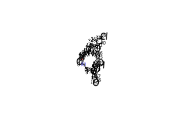 CO[C@@]1(C)/C=C/C[C@H](C)[C@@H](CCN2CCOCC2)S(=O)(=O)NC(=O)c2ccc3c(c2)N(C[C@H]2CCCc4cc(Cl)ccc4C2O3)C[C@@H]2CC[C@H]21